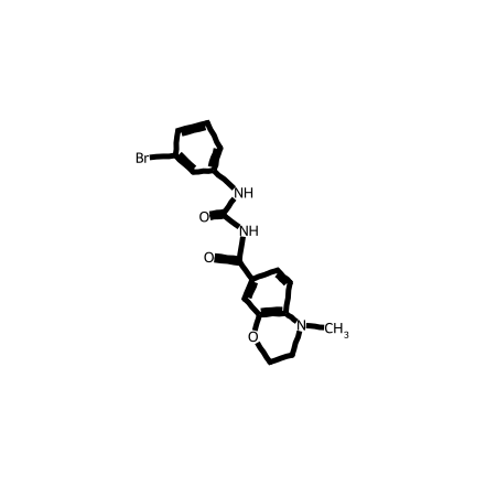 CN1CCOc2cc(C(=O)NC(=O)Nc3cccc(Br)c3)ccc21